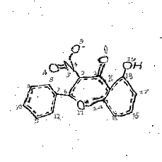 O=c1c([N+](=O)[O-])c(-c2ccccc2)oc2cccc(O)c12